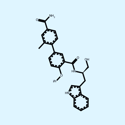 Cc1cc(C(N)=O)ccc1-c1ccc(OC(C)C)c(C(=O)N[C@@H](CO)Cc2c[nH]c3ccccc23)c1